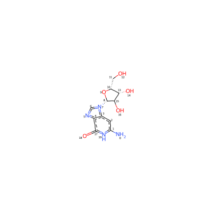 Nc1cc2c(ncn2[C@@H]2O[C@H](CO)[C@H](O)C2O)c(=O)[nH]1